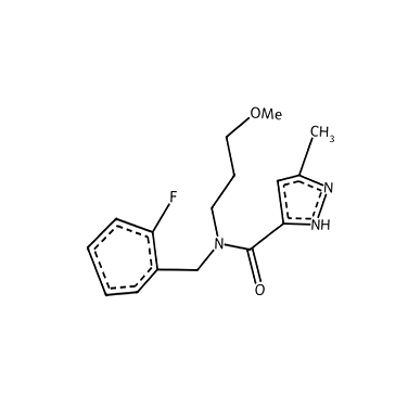 COCCCN(Cc1ccccc1F)C(=O)c1cc(C)n[nH]1